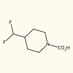 O=C(O)N1CCC(C(F)F)CC1